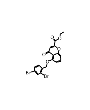 CCOC(=O)c1cc(=O)c2c(OCc3ccc(Br)cc3Br)cccc2o1